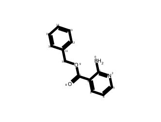 Bc1ncccc1C(=O)OCc1ccccc1